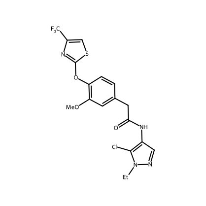 CCn1ncc(NC(=O)Cc2ccc(Oc3nc(C(F)(F)F)cs3)c(OC)c2)c1Cl